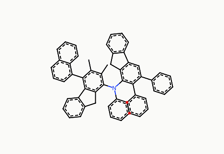 Cc1c(C)c(N(c2ccccc2)c2c3c(cc(-c4ccccc4)c2-c2ccccc2)-c2ccccc2C3)c2c(c1-c1cccc3ccccc13)-c1ccccc1C2